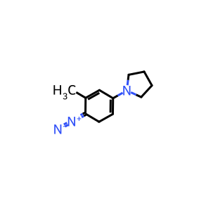 CC1=CC(N2CCCC2)=CCC1=[N+]=[N-]